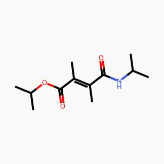 C/C(C(=O)NC(C)C)=C(/C)C(=O)OC(C)C